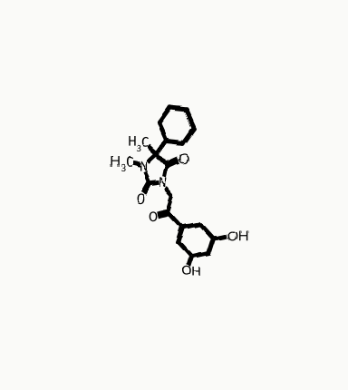 CN1C(=O)N(CC(=O)C2CC(O)CC(O)C2)C(=O)C1(C)C1CCCCC1